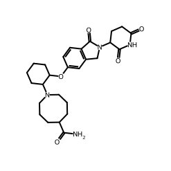 NC(=O)C1CCCN(C2CCCCC2Oc2ccc3c(c2)CN(C2CCC(=O)NC2=O)C3=O)CCC1